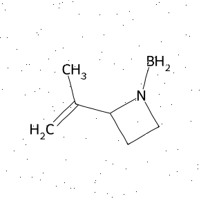 BN1CCC1C(=C)C